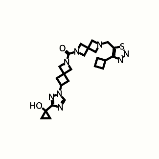 O=C(N1CC2(CC(n3cnc(C4(O)CC4)n3)C2)C1)N1CC2(CN(Cc3snnc3C3CCC3)C2)C1